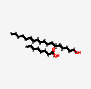 CCCCCCCC(=O)O.CCCCCCCCCCCCCCCCCCO